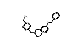 CCc1ccc(CN2CCc3ccc(SCc4ccccc4)cc3C2)cn1